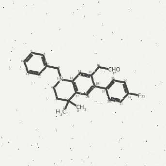 CC1(C)CCN(Cc2ccccc2)c2cc(CC=O)c(-c3ccc(F)cc3)cc21